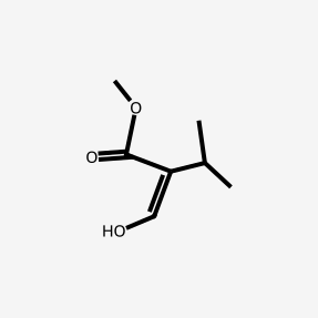 COC(=O)/C(=C\O)C(C)C